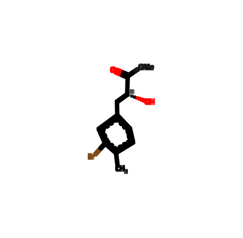 COC(=O)[C@H](O)Cc1ccc(C)c(Br)c1